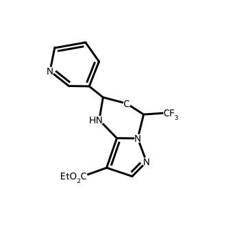 CCOC(=O)c1cnn2c1NC(c1cccnc1)CC2C(F)(F)F